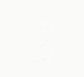 CCO[C@@H]([C@H]1C[C@@H](C)[C@H]2[C@H](O1)[C@H](O)[C@@]1(C)[C@@H]3CC[C@H]4C(C)(C)[C@@H](O[C@H]5CN([C@H](C)CN6CCC6)CCO5)CC[C@@]45C[C@@]35CC[C@]21C)C(C)(C)O